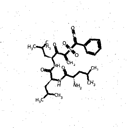 C=C(C(=O)[C@H](CC(C)C)NC(=O)[C@H](CC(C)C)NC(=O)[C@@H](N)CC(C)C)S(=O)(=O)C(=C=O)c1ccccc1